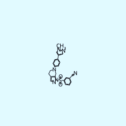 Cn1cc(-c2ccc(N3CCc4cnn(S(=O)(=O)c5cccc(C#N)c5)c4C3)cc2)cn1